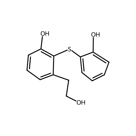 OCCc1cccc(O)c1Sc1ccccc1O